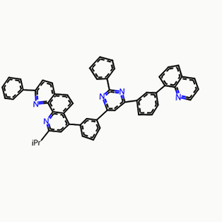 CC(C)c1cc(-c2cccc(-c3cc(-c4cccc(-c5cccc6cccnc56)c4)nc(-c4ccccc4)n3)c2)c2ccc3ccc(-c4ccccc4)nc3c2n1